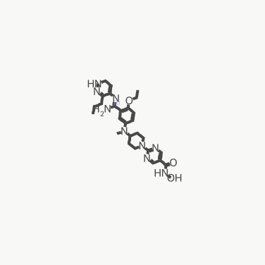 CCCC1=NNCC=C1/N=C(\N)c1cc(N(C)C2CCN(c3ncc(C(=O)NO)cn3)CC2)ccc1OCC